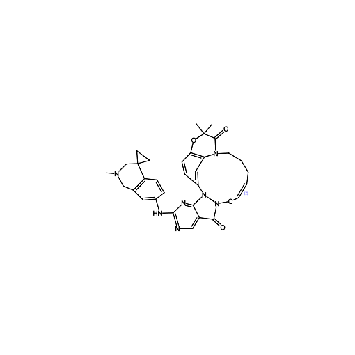 CN1Cc2cc(Nc3ncc4c(=O)n5n(c4n3)-c3ccc4c(c3)N(CCC/C=C\C5)C(=O)C(C)(C)O4)ccc2C2(CC2)C1